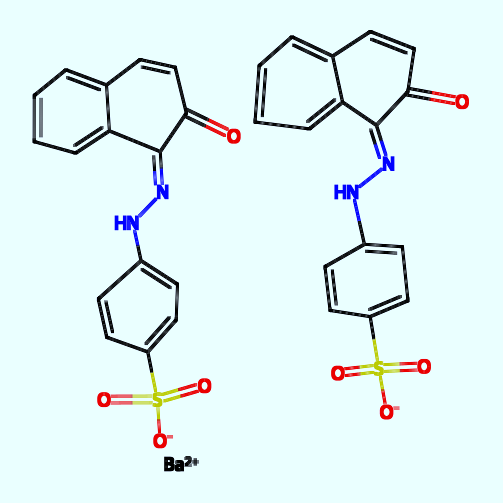 O=C1C=Cc2ccccc2/C1=N\Nc1ccc(S(=O)(=O)[O-])cc1.O=C1C=Cc2ccccc2/C1=N\Nc1ccc(S(=O)(=O)[O-])cc1.[Ba+2]